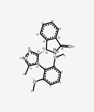 COc1cccc(OC)c1-n1c(C)nnc1[C@H]1NC(=O)c2ccccc21